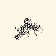 CC(=O)N[C@H]1C(O[C@@H]2OC(C)[C@H](C)[C@H](O[C@@H]3OC(C)[C@H](C)[C@H](C)C3C)C2OC(C)=O)[C@@H]2OC(C)(C)OCC2O[C@H]1OC1[C@H](C)OC(C)[C@H](C)[C@@H]1O[C@H]1O[C@@H](COCc2ccccc2)[C@@H](C)C(C)C1C